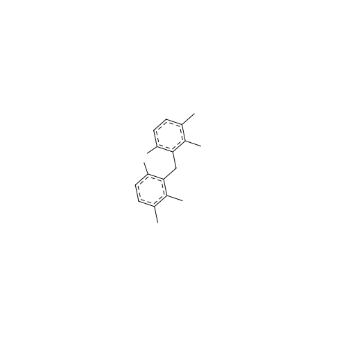 Cc1ccc(C)c(Cc2c(C)ccc(C)c2C)c1C